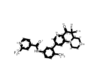 Cc1ccc(NC(=O)c2ccnc(C(F)(F)F)c2)cc1-c1cnc2c(c1)N1CCOCC1C(F)(F)C2=O